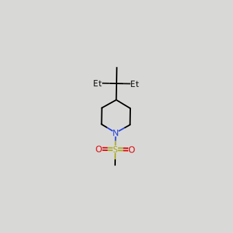 CCC(C)(CC)C1CCN(S(C)(=O)=O)CC1